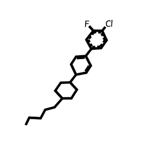 CCCCCC1CCC(C2C=CC(c3ccc(Cl)c(F)c3)=CC2)CC1